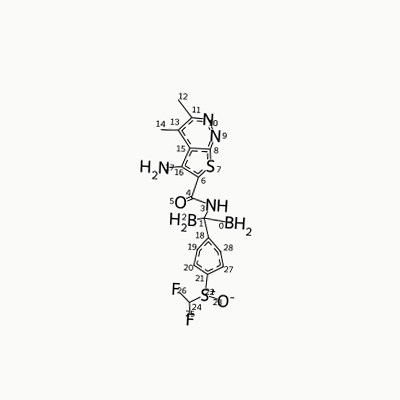 BC(B)(NC(=O)c1sc2nnc(C)c(C)c2c1N)c1ccc([S+]([O-])C(F)F)cc1